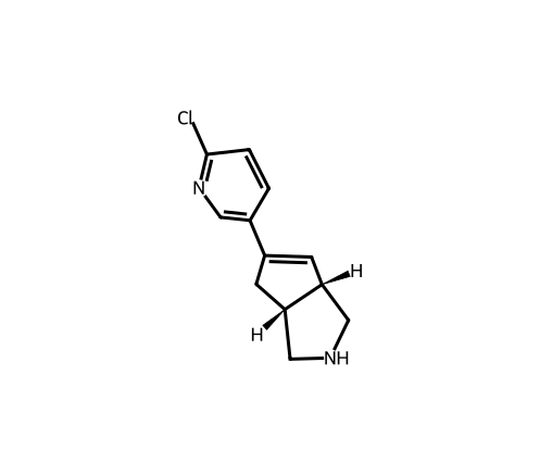 Clc1ccc(C2=C[C@@H]3CNC[C@@H]3C2)cn1